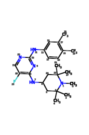 CN1C(C)(C)CC(Nc2nc(Nc3ccc(C(F)(F)F)c(C(F)(F)F)c3)ncc2F)CC1(C)C